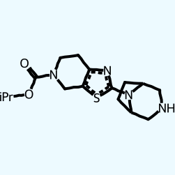 CC(C)OC(=O)N1CCc2nc(N3C4CCC3CNC4)sc2C1